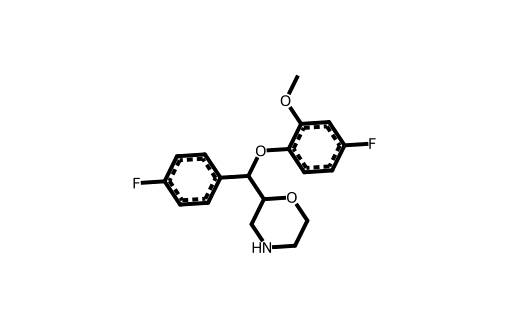 COc1cc(F)ccc1OC(c1ccc(F)cc1)C1CNCCO1